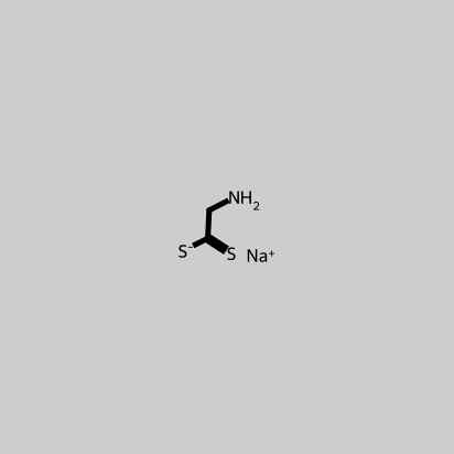 NCC(=S)[S-].[Na+]